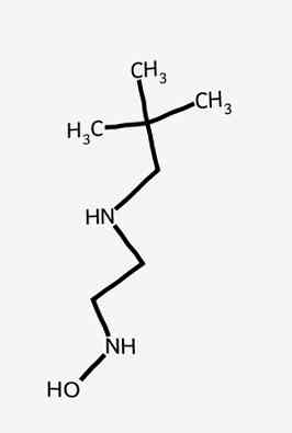 CC(C)(C)CNCCNO